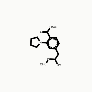 COC(=O)c1ccc(CC(NC=O)C(C)C)cc1N1CCCC1